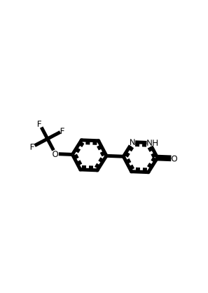 O=c1ccc(-c2ccc(OC(F)(F)F)cc2)n[nH]1